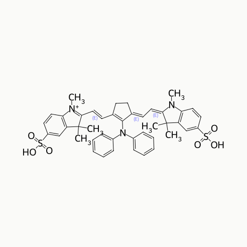 CN1/C(=C/C=C2\CCC(/C=C/C3=[N+](C)c4ccc(S(=O)(=O)O)cc4C3(C)C)=C2N(c2ccccc2)c2ccccc2)C(C)(C)c2cc(S(=O)(=O)O)ccc21